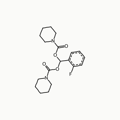 O=C(OC(OC(=O)N1CCCCC1)c1ccccc1F)N1CCCCC1